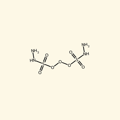 NNS(=O)(=O)OOOS(=O)(=O)NN